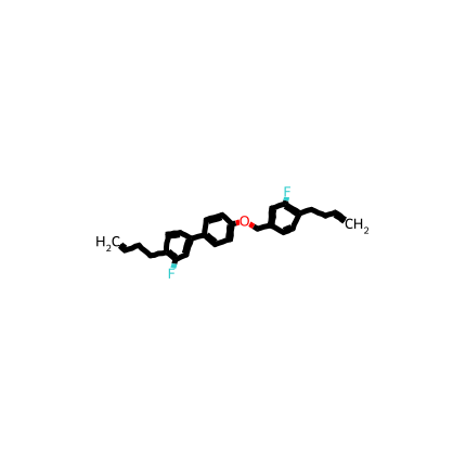 C=CCCc1ccc(COc2ccc(-c3ccc(CCC=C)c(F)c3)cc2)cc1F